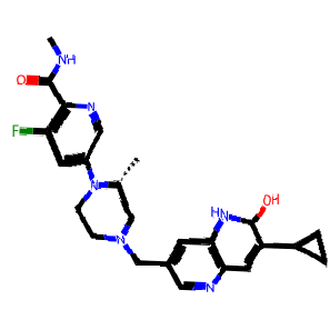 CNC(=O)c1ncc(N2CCN(Cc3cnc4c(c3)NC(O)C(C3CC3)=C4)C[C@H]2C)cc1F